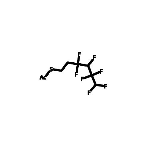 CC(=O)SCCC(F)(F)C(F)C(F)(F)C(F)F